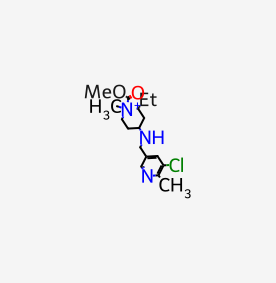 CCC1CC(NCc2cnc(C)c(Cl)c2)CC[N+]1(C)C(=O)OC